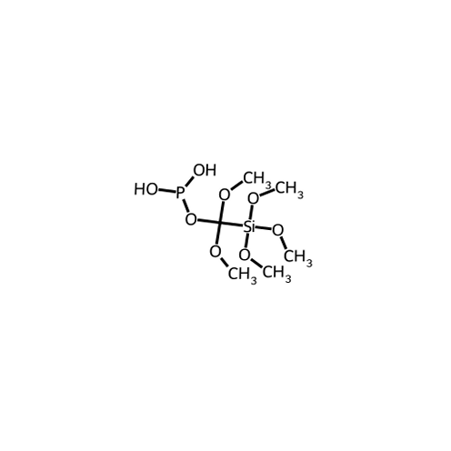 COC(OC)(OP(O)O)[Si](OC)(OC)OC